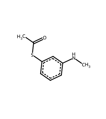 CNc1cccc(SC(C)=O)c1